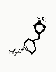 C[CH]c1ccc(CC2CCN(C)CC2)cc1